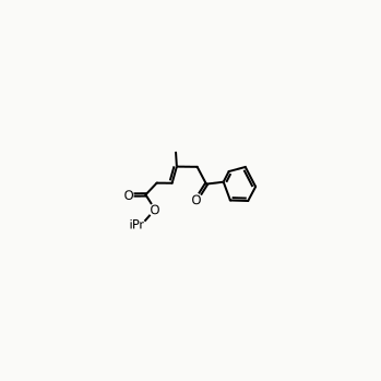 CC(=CCC(=O)OC(C)C)CC(=O)c1ccccc1